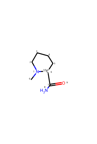 CN1CC[CH]C[13CH]1C(N)=O